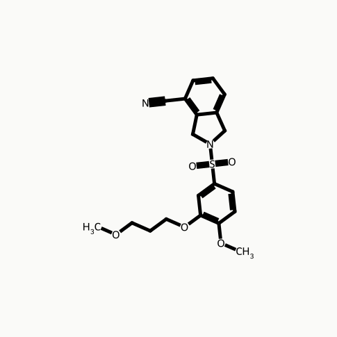 COCCCOc1cc(S(=O)(=O)N2Cc3cccc(C#N)c3C2)ccc1OC